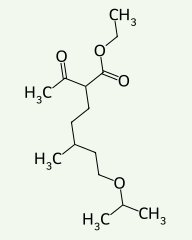 CCOC(=O)C(CCC(C)CCOC(C)C)C(C)=O